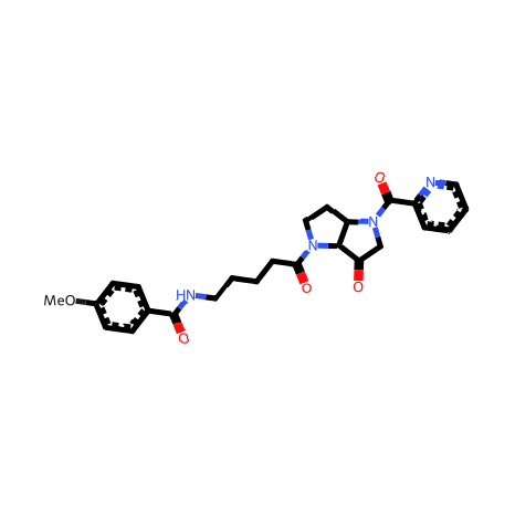 COc1ccc(C(=O)NCCCCC(=O)N2CCC3C2C(=O)CN3C(=O)c2ccccn2)cc1